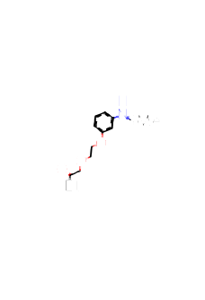 CCC(=O)COCCOc1cccc(NSC)c1